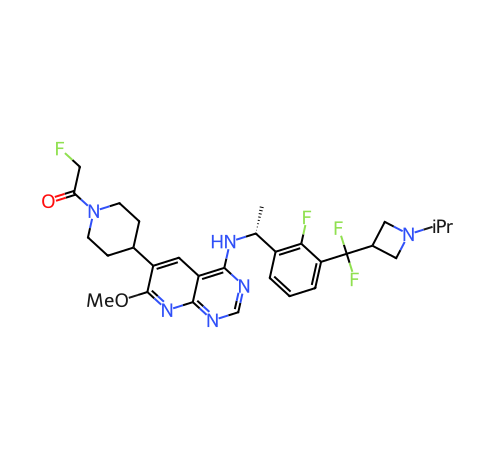 COc1nc2ncnc(N[C@H](C)c3cccc(C(F)(F)C4CN(C(C)C)C4)c3F)c2cc1C1CCN(C(=O)CF)CC1